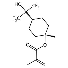 C=C(C)C(=O)O[C@]1(C)CC[C@@H](C(O)(C(F)(F)F)C(F)(F)F)CC1